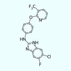 Fc1cc2nc(Nc3ccc(Oc4ncccc4C(F)(F)F)cc3)[nH]c2cc1Cl